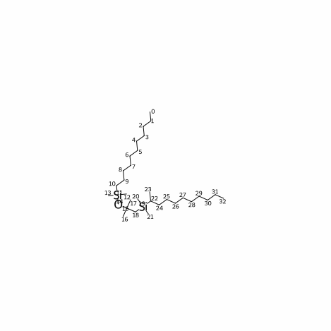 CCCCCCCCCCC[Si](C)(C)OC(C)(C)C[Si](C)(C)C(C)CCCCCCCCC